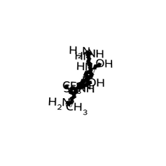 C[C@H](N)CCCc1cc(SC(F)(F)F)cc(-c2cc3c([nH]2)=NC(O)N(c2ccc([C@H](CCCO)NCCCNC(=N)N)cc2)C=3)c1